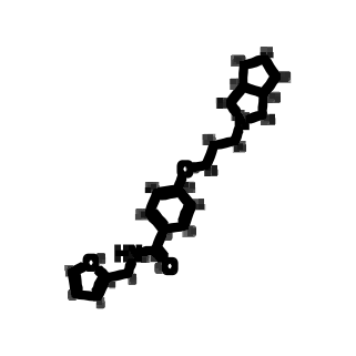 O=C(NCc1ccco1)c1ccc(OCCCN2CC3CCCC3C2)cc1